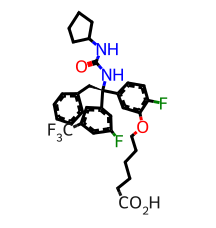 O=C(O)CCCCCOc1cc([C@@](Cc2ccccc2)(NC(=O)NC2CCCC2)c2cc(F)cc(C(F)(F)F)c2)ccc1F